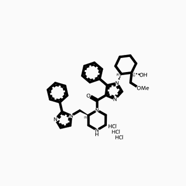 COC[C@]1(O)CCCC[C@H]1n1cnc(C(=O)N2CCNC[C@H]2Cn2ccnc2-c2ccccc2)c1-c1ccccc1.Cl.Cl.Cl